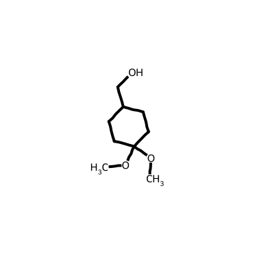 COC1(OC)CCC(CO)CC1